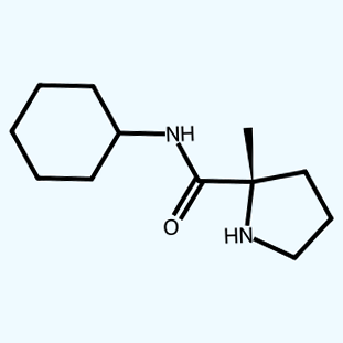 C[C@@]1(C(=O)NC2CCCCC2)CCCN1